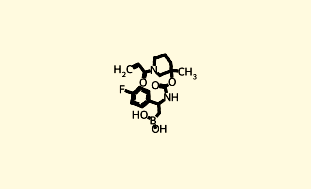 C=CC(=O)N1CCCC(C)(OC(=O)NC(CB(O)O)c2ccc(F)cc2)C1